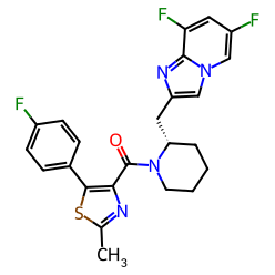 Cc1nc(C(=O)N2CCCC[C@H]2Cc2cn3cc(F)cc(F)c3n2)c(-c2ccc(F)cc2)s1